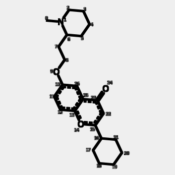 CN1CCCCC1CCOc1ccc2oc(C3CCCCC3)cc(=O)c2c1